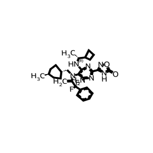 C=C(N(C[C@H]1CC[C@H](C)CC1)c1c(N)nc(-c2noc(=O)[nH]2)nc1N[C@H](C)C1CCC1)C(F)(F)c1ccccc1